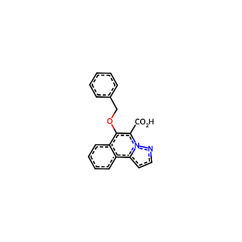 O=C(O)c1c(OCc2ccccc2)c2ccccc2c2ccnn12